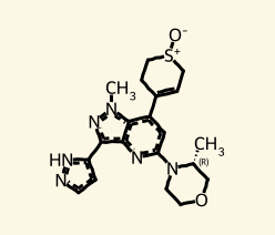 C[C@@H]1COCCN1c1cc(C2=CC[S+]([O-])CC2)c2c(n1)c(-c1ccn[nH]1)nn2C